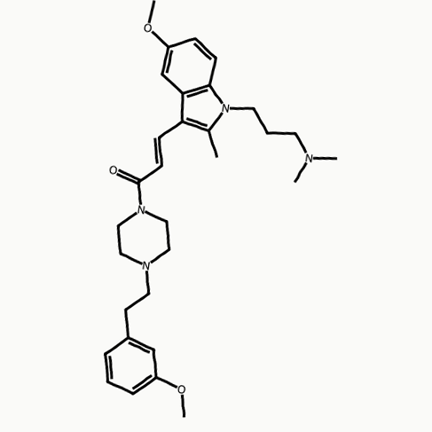 COc1cccc(CCN2CCN(C(=O)C=Cc3c(C)n(CCCN(C)C)c4ccc(OC)cc34)CC2)c1